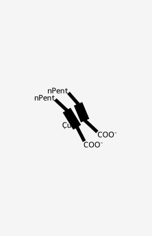 CCCCCC#CC(=O)[O-].CCCCCC#CC(=O)[O-].[Cu+2]